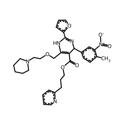 Cc1ccc(C2N=C(c3ccco3)NC(COCCN3CCCCC3)=C2C(=O)OCCCc2ccccn2)cc1[N+](=O)[O-]